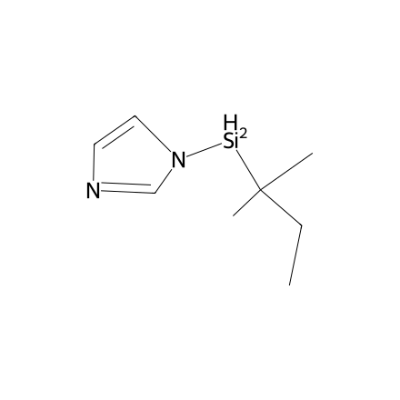 CCC(C)(C)[SiH2]n1ccnc1